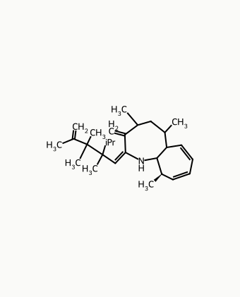 C=C1/C(=C\C(C)(C(C)C)C(C)(C)C(=C)C)NC2C(C=CC=C[C@H]2C)C(C)CC1C